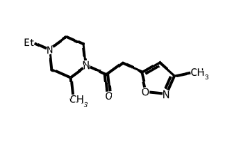 CCN1CCN(C(=O)Cc2cc(C)no2)C(C)C1